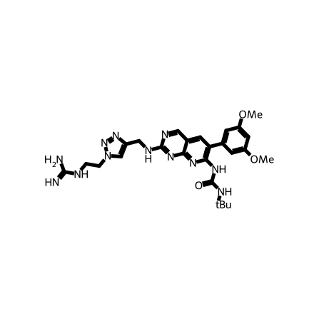 COc1cc(OC)cc(-c2cc3cnc(NCc4cn(CCNC(=N)N)nn4)nc3nc2NC(=O)NC(C)(C)C)c1